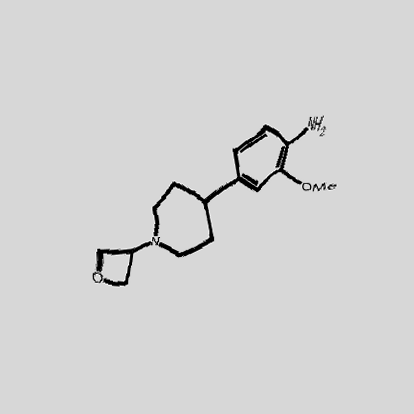 COc1cc(C2CCN(C3COC3)CC2)ccc1N